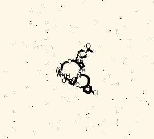 CC(=O)N1CCN(C[C@]2(O)CCC[C@H](C)[C@@H](C)S(=O)(=O)NC(=O)c3ccc4c(c3)N(CCCCc3cc(Cl)ccc3CO4)C[C@@H]3CC[C@H]32)CC1